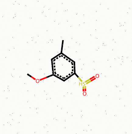 COc1cc(C)cc([SH](=O)=O)c1